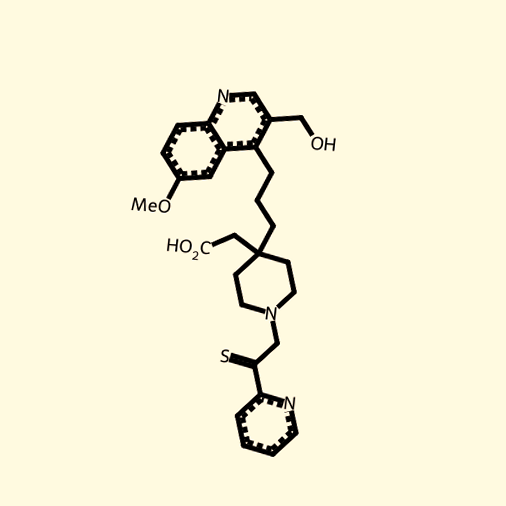 COc1ccc2ncc(CO)c(CCCC3(CC(=O)O)CCN(CC(=S)c4ccccn4)CC3)c2c1